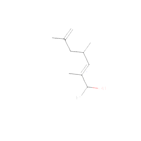 C=C(C)CC(C)/C=C(\C)C(O)CC